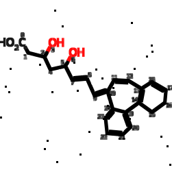 O=C(O)CC(O)CC(O)/C=C/C=C1\C=CC2=C(CCC=C2)c2ccccc21